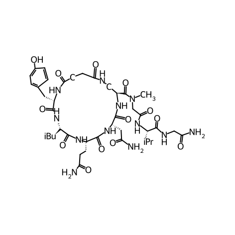 CC[C@H](C)[C@@H]1NC(=O)[C@H](Cc2ccc(O)cc2)NC(=O)CCC(=O)NC[C@@H](C(=O)N(C)CC(=O)N[C@H](C(=O)NCC(N)=O)C(C)C)NC(=O)[C@H](CC(N)=O)NC(=O)[C@H](CCC(N)=O)NC1=O